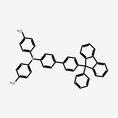 Cc1ccc(N(c2ccc(C)cc2)c2ccc(-c3ccc(C4(c5ccccc5)c5ccccc5-c5ccccc54)cc3)cc2)cc1